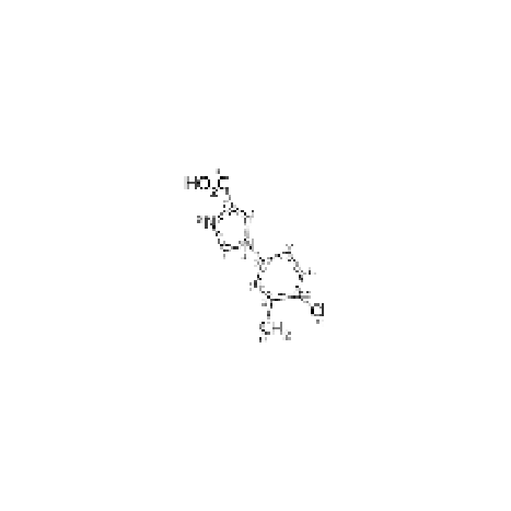 Cc1cc(-n2cnc(C(=O)O)c2)ccc1Cl